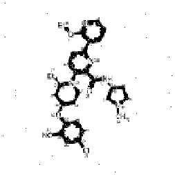 CCOc1ncccc1-c1ccc(N2CC[C@@H](Oc3ccc(Cl)cc3C#N)C[C@H]2CC)c(C(=O)N[C@@H]2CCN(C)C2)n1